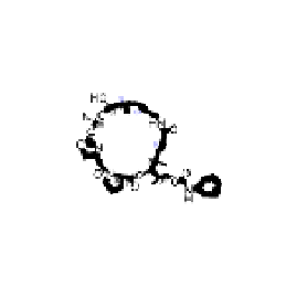 CC1=C\[C@@H](O)C[C@@H](F)Cc2nc(co2)C(=O)N2CCC[C@@H]2C(=O)O[C@H]([C@H](C)COC(=O)Nc2ccccc2)[C@H](C)/C=C/C(=O)NC\C=C\1